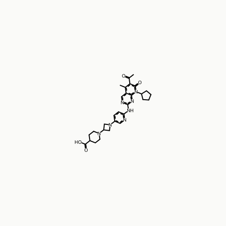 CC(=O)c1c(C)c2cnc(Nc3ccc(N4CC(N5CCC(C(=O)O)CC5)C4)cn3)nc2n(C2CCCC2)c1=O